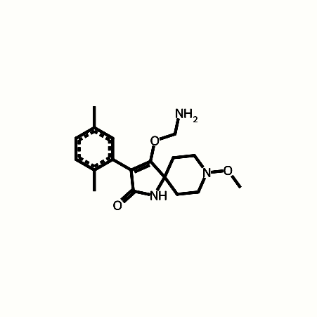 CON1CCC2(CC1)NC(=O)C(c1cc(C)ccc1C)=C2OCN